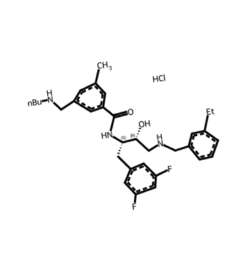 CCCCNCc1cc(C)cc(C(=O)N[C@@H](Cc2cc(F)cc(F)c2)[C@H](O)CNCc2cccc(CC)c2)c1.Cl